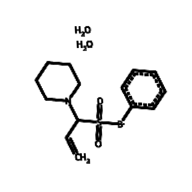 C=CC(N1CCCCC1)S(=O)(=O)[B]c1ccccc1.O.O